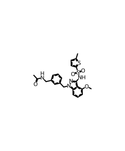 COc1cccc2c1c(NS(=O)(=O)c1ccc(C)s1)nn2Cc1cccc(CNC(C)=O)c1